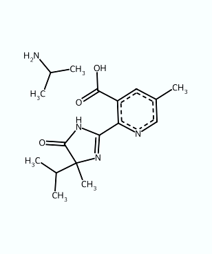 CC(C)N.Cc1cnc(C2=NC(C)(C(C)C)C(=O)N2)c(C(=O)O)c1